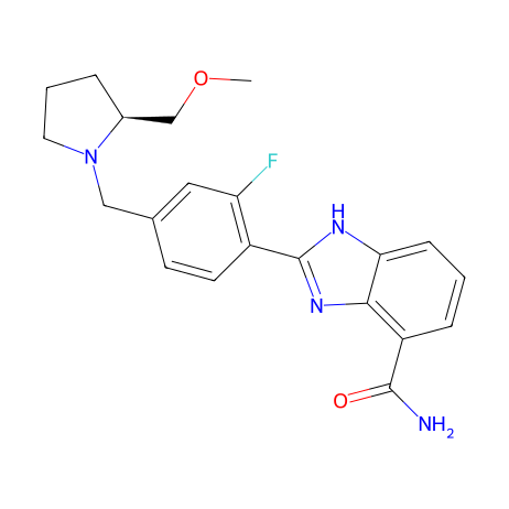 COC[C@@H]1CCCN1Cc1ccc(-c2nc3c(C(N)=O)cccc3[nH]2)c(F)c1